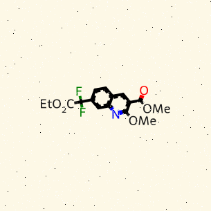 CCOC(=O)C(F)(F)c1ccc2cc(C(=O)OC)c(OC)nc2c1